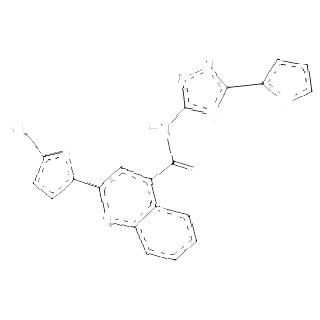 O=C(Nc1nnc(-c2ccco2)o1)c1cc(-c2ccc(Cl)s2)nc2ccccc12